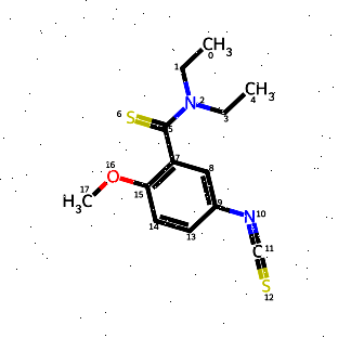 CCN(CC)C(=S)c1cc(N=C=S)ccc1OC